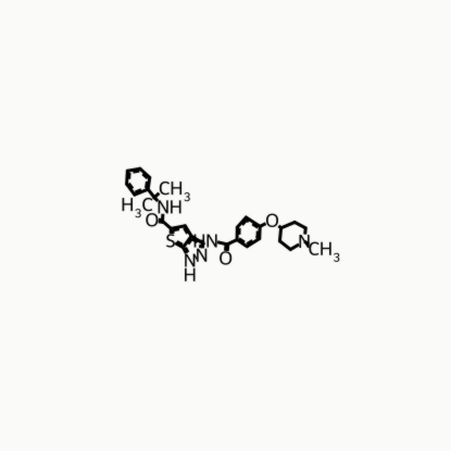 CN1CCC(Oc2ccc(C(=O)Nc3n[nH]c4sc(C(=O)NC(C)(C)c5ccccc5)cc34)cc2)CC1